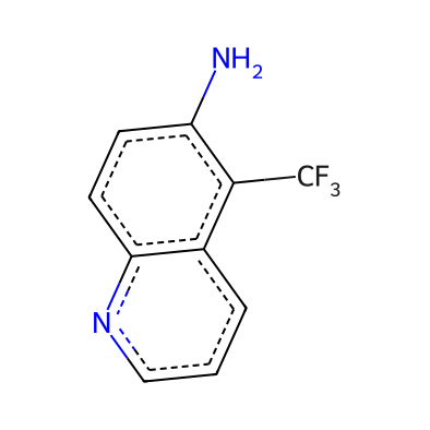 Nc1ccc2ncccc2c1C(F)(F)F